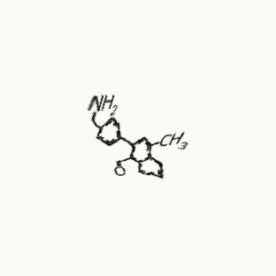 Cc1cc(-c2ccc(CN)cc2)c(C=O)c2ccccc12